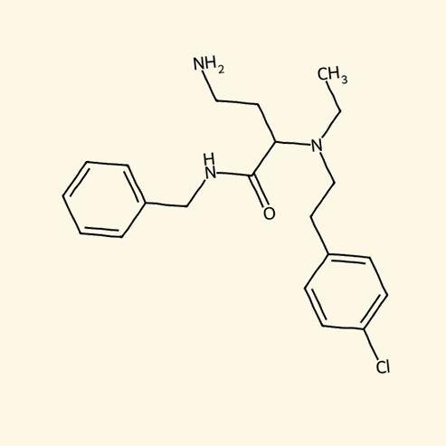 CCN(CCc1ccc(Cl)cc1)C(CCN)C(=O)NCc1ccccc1